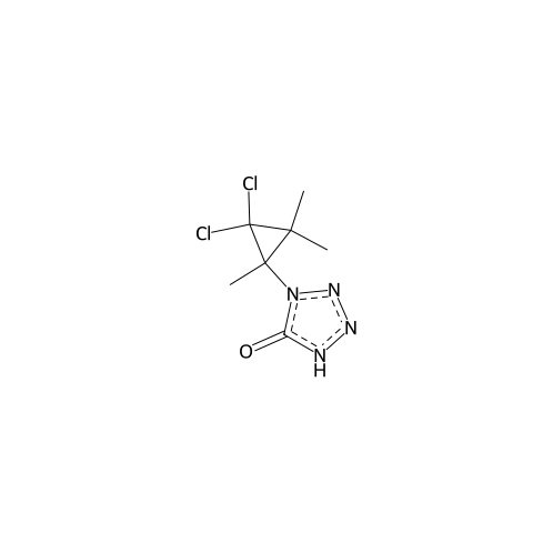 CC1(C)C(Cl)(Cl)C1(C)n1nn[nH]c1=O